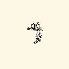 O=S(=O)(Nc1nccs1)c1cc(Cl)c(NC[C@]2(Cc3cccc(Br)c3)C[C@H](O)CN2)cc1F